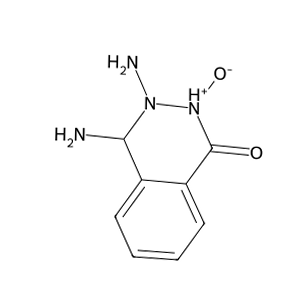 NC1c2ccccc2C(=O)[NH+]([O-])N1N